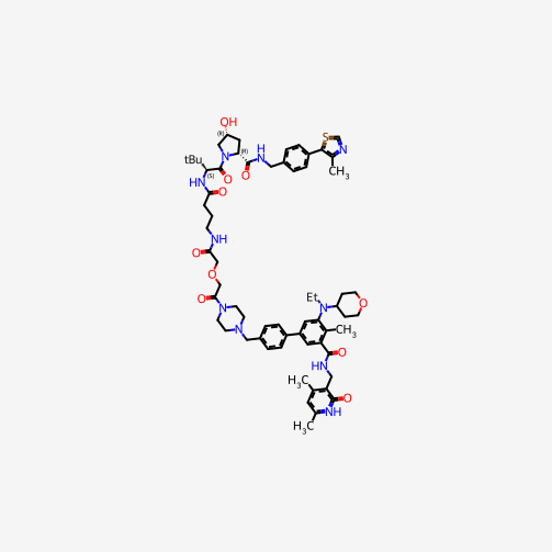 CCN(c1cc(-c2ccc(CN3CCN(C(=O)COCC(=O)NCCCC(=O)N[C@H](C(=O)N4C[C@H](O)C[C@@H]4C(=O)NCc4ccc(-c5scnc5C)cc4)C(C)(C)C)CC3)cc2)cc(C(=O)NCc2c(C)cc(C)[nH]c2=O)c1C)C1CCOCC1